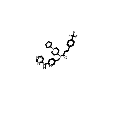 O=C(C=Cc1ccc(C(F)(F)F)cc1)N(Cc1ccc(Nc2ccncn2)nc1)C1CCN(C2CCCC2)CC1